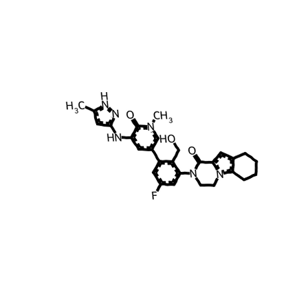 Cc1cc(Nc2cc(-c3cc(F)cc(N4CCn5c(cc6c5CCCC6)C4=O)c3CO)cn(C)c2=O)n[nH]1